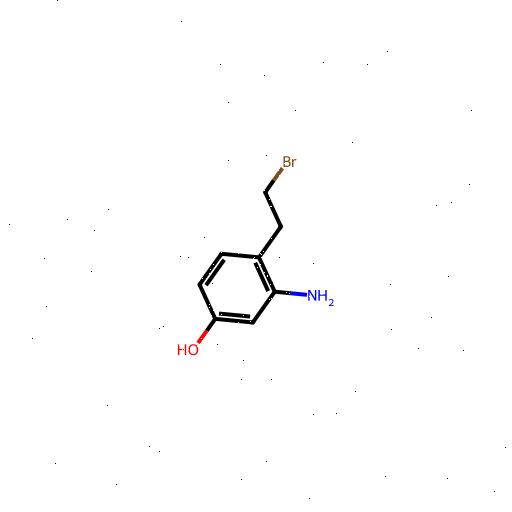 Nc1cc(O)ccc1CCBr